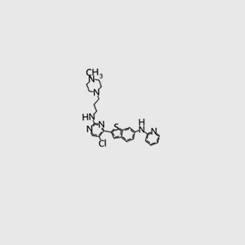 CN1CCN(CCCNc2ncc(Cl)c(-c3cc4ccc(Nc5ccccn5)cc4s3)n2)CC1